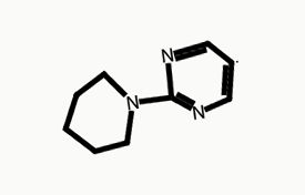 [c]1cnc(N2CCCCC2)nc1